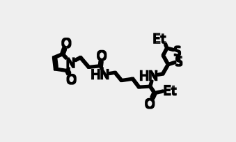 CCC(=O)C(CCCCNC(=O)CCN1C(=O)C=CC1=O)NCC1CC(CC)SS1